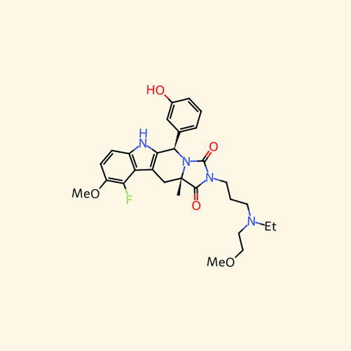 CCN(CCCN1C(=O)N2[C@H](c3cccc(O)c3)c3[nH]c4ccc(OC)c(F)c4c3C[C@@]2(C)C1=O)CCOC